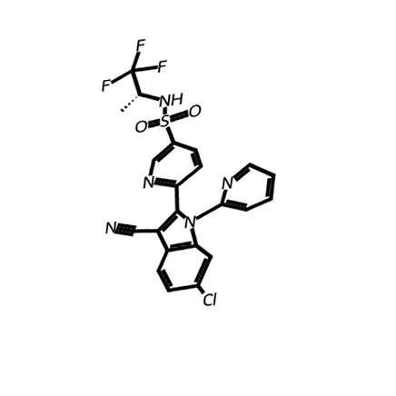 C[C@@H](NS(=O)(=O)c1ccc(-c2c(C#N)c3ccc(Cl)cc3n2-c2ccccn2)nc1)C(F)(F)F